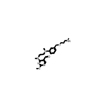 CNCCCOCc1cccc(N(C)CCN(C)c2nc(SC)ncc2C=O)c1